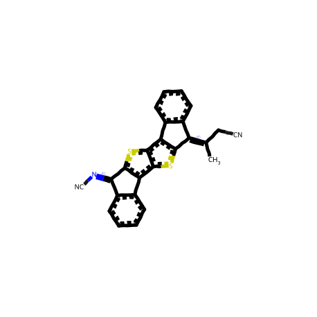 C/C(CC#N)=C1/c2ccccc2-c2c1sc1c3c(sc21)/C(=N/C#N)c1ccccc1-3